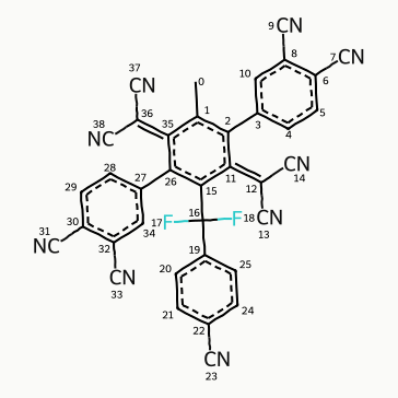 Cc1c(-c2ccc(C#N)c(C#N)c2)c(=C(C#N)C#N)c(C(F)(F)c2ccc(C#N)cc2)c(-c2ccc(C#N)c(C#N)c2)c1=C(C#N)C#N